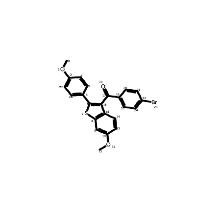 COc1ccc(-c2sc3cc(OC)ccc3c2C(=O)c2ccc(Br)cc2)cc1